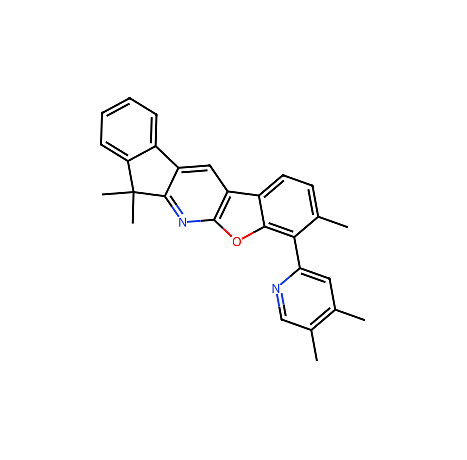 Cc1cnc(-c2c(C)ccc3c2oc2nc4c(cc23)-c2ccccc2C4(C)C)cc1C